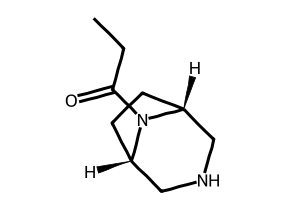 CCC(=O)N1[C@@H]2CC[C@H]1CNC2